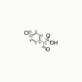 O=[C]C(C(=O)O)c1ccc(Cl)cc1